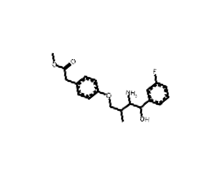 COC(=O)Cc1ccc(OCC(C)C(N)C(O)c2cccc(F)c2)cc1